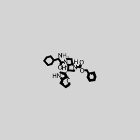 N[C@H](C(=O)N1CC[C@@H]2[C@H]1[C@@H](c1c[nH]c3ccccc13)CN2C(=O)OCc1ccccc1)C1CCCCC1